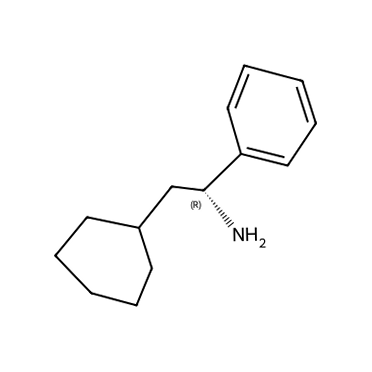 N[C@H](CC1CCCCC1)c1ccccc1